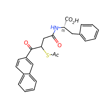 CC(=O)SC(CC(=O)N[C@@H](Cc1ccccc1)C(=O)O)C(=O)c1ccc2ccccc2c1